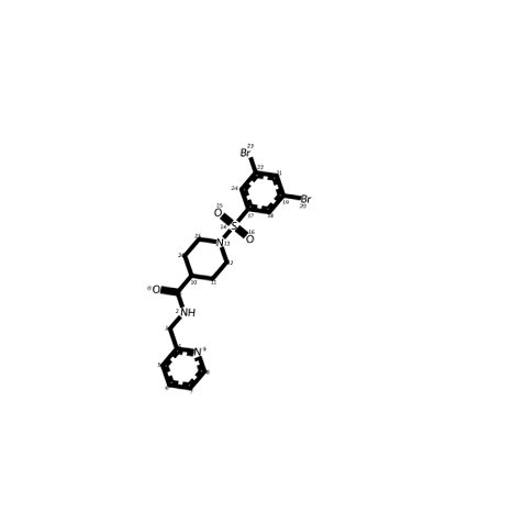 O=C(NCc1ccccn1)C1CCN(S(=O)(=O)c2cc(Br)cc(Br)c2)CC1